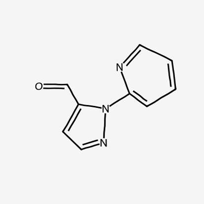 O=Cc1ccnn1-c1ccccn1